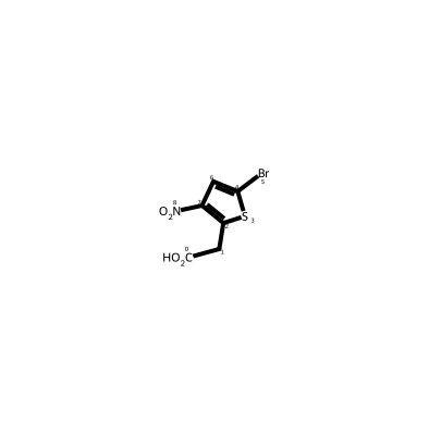 O=C(O)Cc1sc(Br)cc1[N+](=O)[O-]